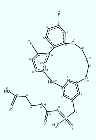 CS(=O)(Cc1cc2nc(c1)OCCCOc1cc(F)ccc1-c1cc(ncc1F)N2)=NC(=O)NCCC(=O)O